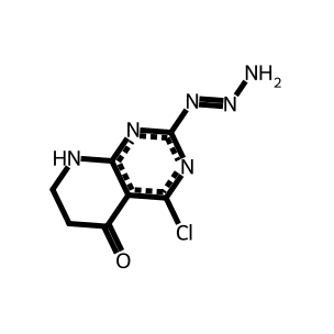 NN=Nc1nc(Cl)c2c(n1)NCCC2=O